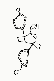 O=C(O)C1(c2ccc(Cl)cc2)CCC1C1(c2ccc(Cl)cc2)CCC1